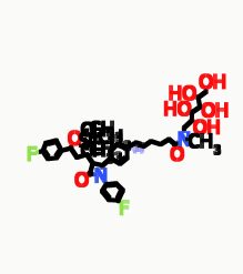 CN(CC(O)C(O)C(O)C(O)CO)C(=O)CCC/C=C/c1ccc(C2C(CCC(O[Si](C)(C)C(C)(C)C)c3ccc(F)cc3)C(=O)N2c2ccc(F)cc2)cc1